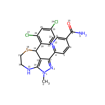 Cn1nc(-c2ccc(C(N)=O)cn2)c2c1NCCSC2c1ccc(Cl)cc1Cl